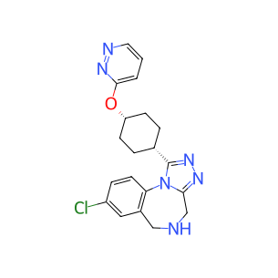 Clc1ccc2c(c1)CNCc1nnc([C@H]3CC[C@@H](Oc4cccnn4)CC3)n1-2